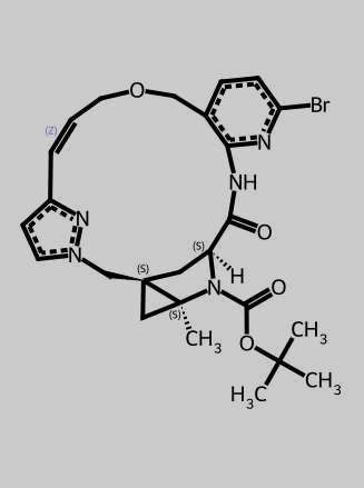 CC(C)(C)OC(=O)N1[C@H]2C[C@@]3(Cn4ccc(n4)/C=C\COCc4ccc(Br)nc4NC2=O)C[C@]13C